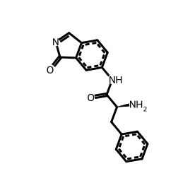 N[C@@H](Cc1ccccc1)C(=O)Nc1ccc2c(c1)C(=O)N=C2